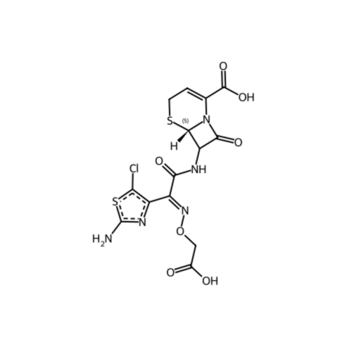 Nc1nc(C(=NOCC(=O)O)C(=O)NC2C(=O)N3C(C(=O)O)=CCS[C@@H]23)c(Cl)s1